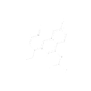 CC(C)Cc1c[nH]c(=O)c2c1nc(NC(C)C(C)(C)C)c1ccc(Br)cc12